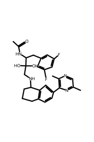 CC(=O)NC(Cc1cc(F)cc(F)c1)C(O)(O)CNC1CCCc2ccc(-c3nc(C)cnc3C)cc21